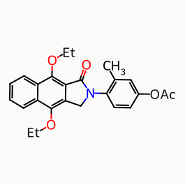 CCOc1c2c(c(OCC)c3ccccc13)C(=O)N(c1ccc(OC(C)=O)cc1C)C2